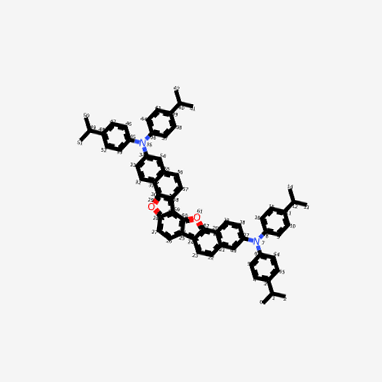 CC(C)c1ccc(N(c2ccc(C(C)C)cc2)c2ccc3c(ccc4c5ccc6oc7c8ccc(N(c9ccc(C(C)C)cc9)c9ccc(C(C)C)cc9)cc8ccc7c6c5oc34)c2)cc1